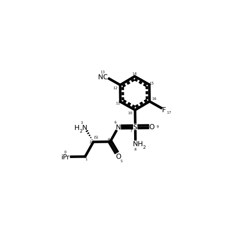 CC(C)C[C@H](N)C(=O)N=S(N)(=O)c1cc(C#N)ccc1F